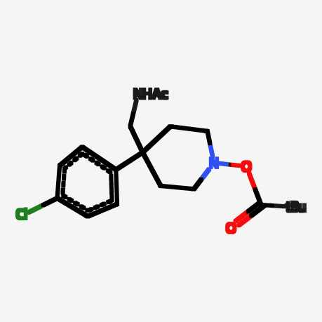 CC(=O)NCC1(c2ccc(Cl)cc2)CCN(OC(=O)C(C)(C)C)CC1